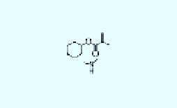 C=C(C)C(=O)OC1CCCCC1.CNC